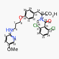 COc1ccc(NCCCOc2ccc(C[C@@H](C(=O)O)N(C)C(=O)c3c(Cl)cccc3Cl)cc2)nc1